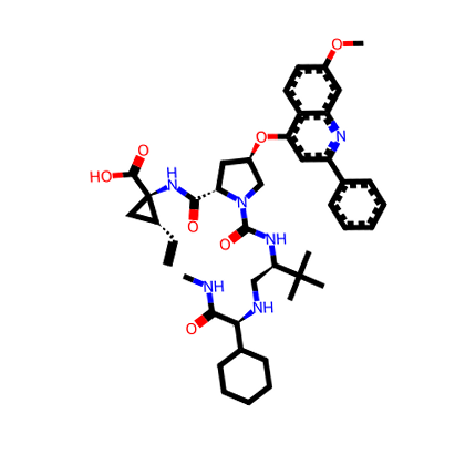 C=C[C@@H]1C[C@]1(NC(=O)[C@@H]1C[C@@H](Oc2cc(-c3ccccc3)nc3cc(OC)ccc23)CN1C(=O)N[C@H](CN[C@H](C(=O)NC)C1CCCCC1)C(C)(C)C)C(=O)O